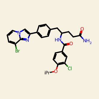 CC(C)Oc1ccc(C(=O)NC(CCC(N)=O)Cc2ccc(-c3cn4cccc(Br)c4n3)cc2)cc1Cl